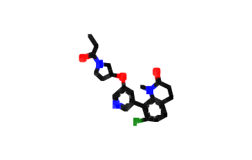 CCC(=O)N1CC[C@H](Oc2cncc(-c3c(F)ccc4c3N(C)C(=O)CC4)c2)C1